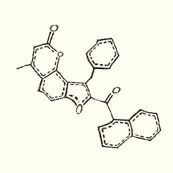 Cc1cc(=O)oc2c1ccc1oc(C(=O)c3cccc4ccccc34)c(-c3ccccc3)c12